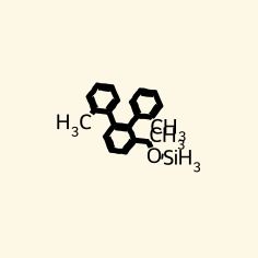 Cc1ccccc1-c1cccc(C(C)O[SiH3])c1-c1ccccc1C